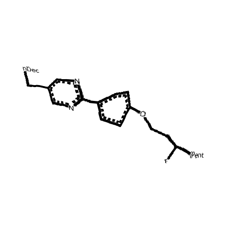 CCCCCCCCCCCc1cnc(-c2ccc(OCCC(F)C(C)CCC)cc2)nc1